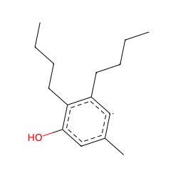 CCCCc1[c]c(C)cc(O)c1CCCC